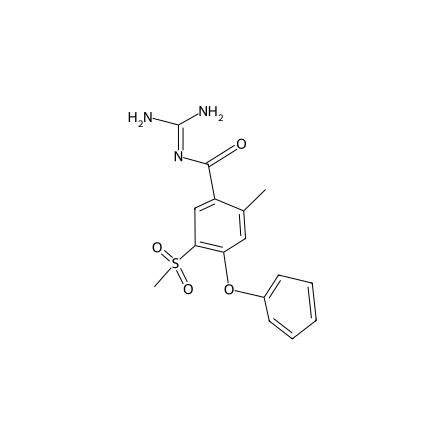 Cc1cc(Oc2ccccc2)c(S(C)(=O)=O)cc1C(=O)N=C(N)N